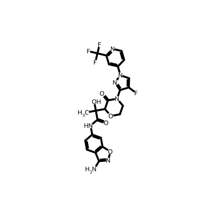 CC(O)(C(=O)Nc1ccc2c(N)noc2c1)C1OCCN(c2nn(-c3ccnc(C(F)(F)F)c3)cc2F)C1=O